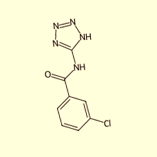 O=C(Nc1nnn[nH]1)c1cccc(Cl)c1